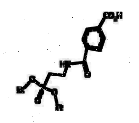 CCOP(=O)(CCNC(=O)c1ccc(C(=O)O)cc1)OCC